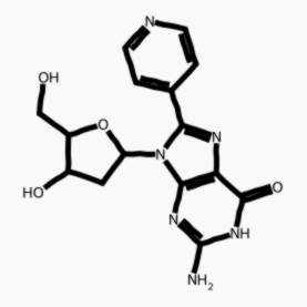 Nc1nc2c(nc(-c3ccncc3)n2C2CC(O)C(CO)O2)c(=O)[nH]1